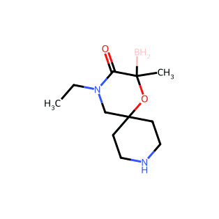 BC1(C)OC2(CCNCC2)CN(CC)C1=O